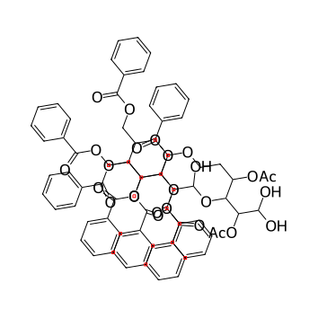 CC(=O)OC(CCOC1OC(COC(=O)c2ccccc2)C(OC(=O)c2ccccc2)C(OC(=O)c2ccccc2)C1OC(=O)c1ccccc1)C(OC(O)C(OC(=O)c1ccccc1)C(OC(=O)c1ccccc1)C(CCOC(=O)c1ccccc1)OC(=O)c1ccccc1)C(OC(C)=O)C(O)O